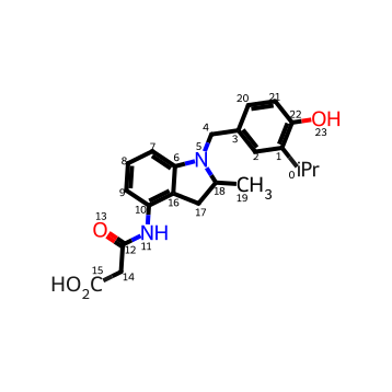 CC(C)c1cc(CN2c3cccc(NC(=O)CC(=O)O)c3CC2C)ccc1O